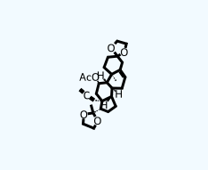 C=C=C[C@]12C[C@H](OC(C)=O)[C@H]3[C@@H](CC=C4CC5(CC[C@@]43C)OCCO5)[C@@H]1CC[C@@H]2C1(C)OCCO1